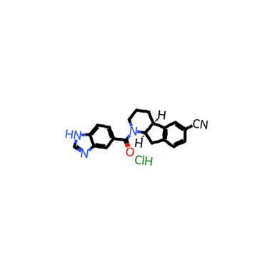 Cl.N#Cc1ccc2c(c1)[C@@H]1CCCN(C(=O)c3ccc4[nH]cnc4c3)[C@@H]1C2